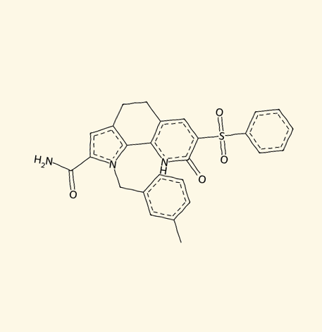 Cc1cccc(Cn2c(C(N)=O)cc3c2-c2[nH]c(=O)c(S(=O)(=O)c4ccccc4)cc2CC3)c1